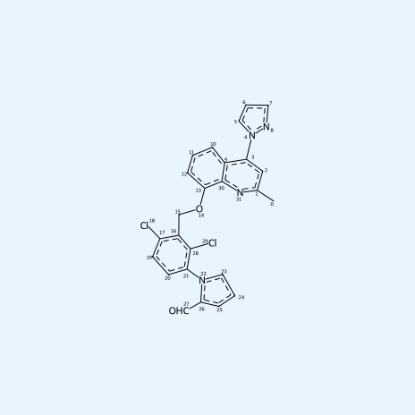 Cc1cc(-n2cccn2)c2cccc(OCc3c(Cl)ccc(-n4cccc4C=O)c3Cl)c2n1